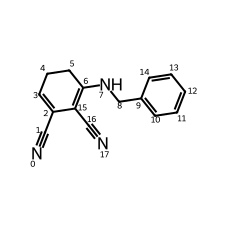 N#CC1=CCCC(NCc2ccccc2)=C1C#N